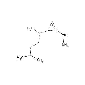 CNC1=CC1C(C)CCC(C)C